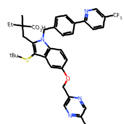 CCC(C)(Cc1c(SC(C)(C)C)c2cc(OCc3cnc(C)cn3)ccc2n1Cc1ccc(-c2ccc(C(F)(F)F)cn2)cc1)C(=O)O